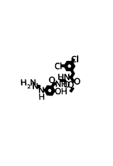 CCOC(=O)C(Cc1cc(Cl)cc(Cl)c1)NC(=O)CNC(=O)c1cc(NC=NN)ccc1O